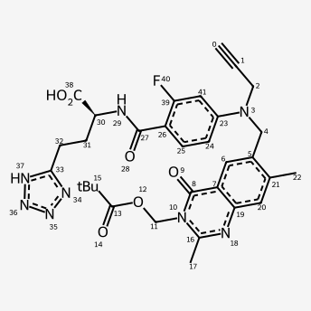 C#CCN(Cc1cc2c(=O)n(COC(=O)C(C)(C)C)c(C)nc2cc1C)c1ccc(C(=O)N[C@@H](CCc2nnn[nH]2)C(=O)O)c(F)c1